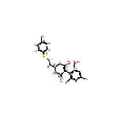 CCc1cc(C)cc(C)c1C1=C(O)CC(CCSc2ccc(C)cc2)CC1=O